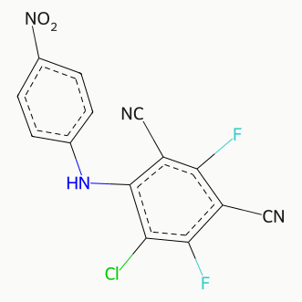 N#Cc1c(F)c(Cl)c(Nc2ccc([N+](=O)[O-])cc2)c(C#N)c1F